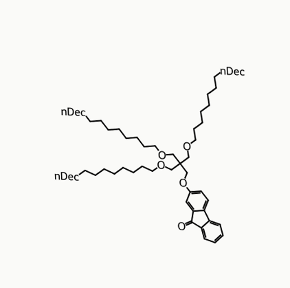 CCCCCCCCCCCCCCCCCCOCC(COCCCCCCCCCCCCCCCCCC)(COCCCCCCCCCCCCCCCCCC)COc1ccc2c(c1)C(=O)c1ccccc1-2